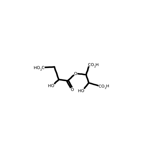 O=C(O)CC(O)C(=O)OC(C(=O)O)C(O)C(=O)O